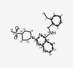 CCc1ccccc1CNc1nc(N2CCC(S(C)(=O)=O)CC2)nc2ncccc12